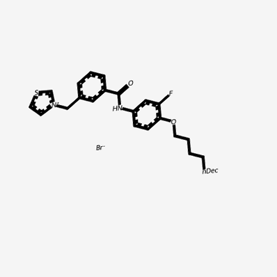 CCCCCCCCCCCCCCOc1ccc(NC(=O)c2cccc(C[n+]3ccsc3)c2)cc1F.[Br-]